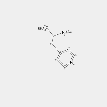 CCOC(=O)C(Cc1ccncc1)NC(C)=O